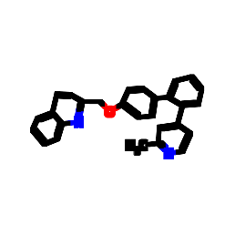 Cc1cc(-c2ccccc2-c2ccc(OCc3ccc4ccccc4n3)cc2)ccn1